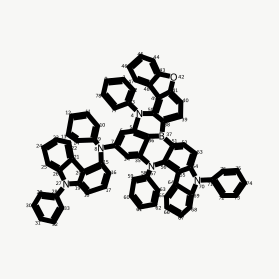 c1ccc(N2c3cc(N(c4ccccc4)c4cccc5c4c4ccccc4n5-c4ccccc4)cc4c3B(c3ccc5oc6ccccc6c5c32)c2ccc3c(c2N4c2ccccc2)c2ccccc2n3-c2ccccc2)cc1